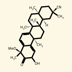 CO[C@]1(C)C(=O)C(O)C=C2C1=CC=C1[C@@]2(C)CC[C@@]2(C)[C@@H]3C[C@](C)(C#N)CC[C@]3(C)CC[C@]12C